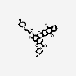 CN1CCN(CCCNc2c(F)cc3c(=O)c(C(=O)N4CCN(C)CC4)cn4c5cc6c(=O)c7ccccc7c(=O)c6cc5oc2c34)CC1